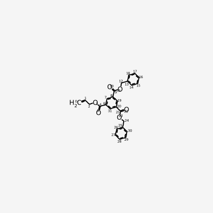 C=CCOC(=O)c1cc(C(=O)OCc2ccccc2)cc(C(=O)OCc2ccccc2)c1